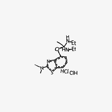 CCNC(C)(NCC)Oc1cccc2sc(N(C)C)nc12.Cl.Cl